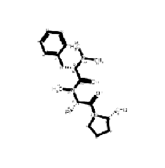 CC(C)[C@@H](C(=O)N1CCC[C@H]1[C]=O)N(C)C(=O)[C@H](Cc1ccccc1)N(C)C